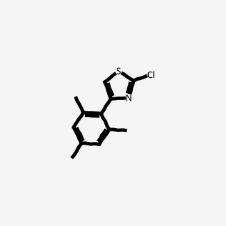 Cc1cc(C)c(-c2csc(Cl)n2)c(C)c1